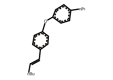 CCCCC=Cc1ccc(Oc2ccc(CCC)cc2)cc1